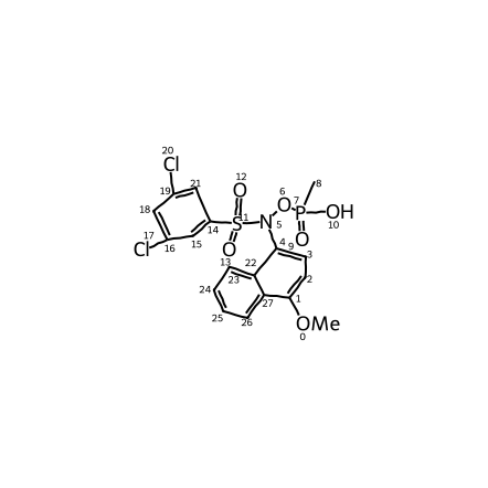 COc1ccc(N(OP(C)(=O)O)S(=O)(=O)c2cc(Cl)cc(Cl)c2)c2ccccc12